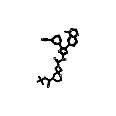 Cc1ncnc2ccc(-c3sc(NC(=O)N4CC5(C4)CN(C(=O)OC(C)(C)C)CCO5)nc3-c3cccc(C#N)c3)cc12